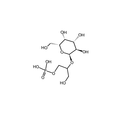 O=P(O)(O)OCC(CO)O[C@H]1O[C@H](CO)[C@H](O)[C@H](O)[C@H]1O